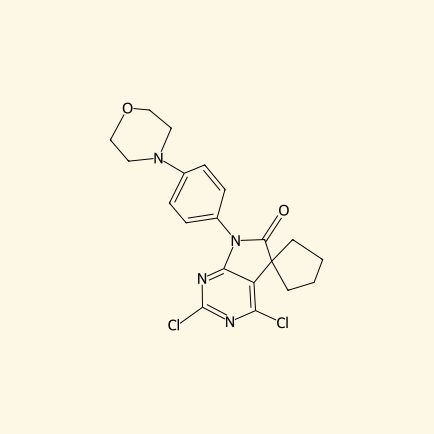 O=C1N(c2ccc(N3CCOCC3)cc2)c2nc(Cl)nc(Cl)c2C12CCCC2